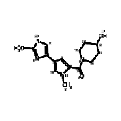 Cc1nc(-c2cc(C(=O)N3CCC(O)CC3)n(C)c2)cs1